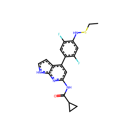 CCSNc1cc(F)c(-c2cc(NC(=O)C3CC3)nc3[nH]ccc23)cc1F